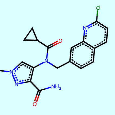 Cn1cc(N(Cc2ccc3ccc(Cl)nc3c2)C(=O)C2CC2)c(C(N)=O)n1